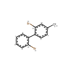 FC(F)(F)c1ccc(-c2ccccc2Br)c(Br)c1